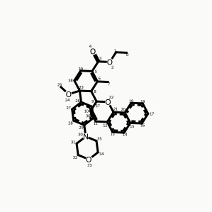 CCOC(=O)C1=C(C)C(C2C=Cc3ccc4ccccc4c3O2)C(OC)(c2ccc(N3CCOCC3)cc2)C=C1